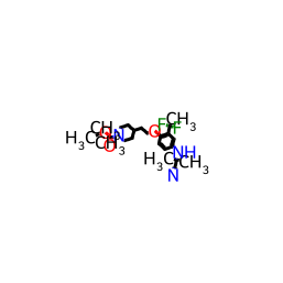 CC(C)(C#N)Nc1ccc(OCCC2CCN(C(=O)OC(C)(C)C)CC2)c(C(C)(F)F)c1